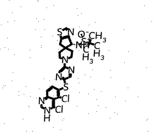 CC(C)(C)[S@+]([O-])N[C@H]1c2ncsc2CC12CCN(c1cnc(Sc3ccc4c(c3Cl)=C(Cl)NCN=4)cn1)CC2